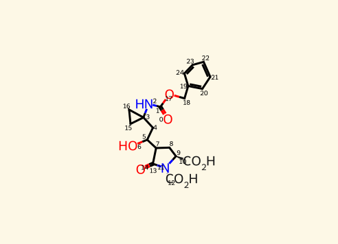 O=C(NC1(CC(O)C2C[C@@H](C(=O)O)N(C(=O)O)C2=O)CC1)OCc1ccccc1